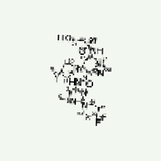 Cc1cc(NC(=O)c2c(N3CCC4(CC3)CC4)cc(NS(=O)(=O)CCO)n3ccnc23)nc(N2CCC(F)(F)CC2)n1